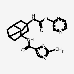 Cc1nc(C(=O)NC23CC4CC(CC(NC(=O)Oc5cnccn5)(C4)C2)C3)cs1